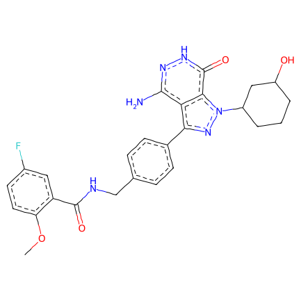 COc1ccc(F)cc1C(=O)NCc1ccc(-c2nn(C3CCCC(O)C3)c3c(=O)[nH]nc(N)c23)cc1